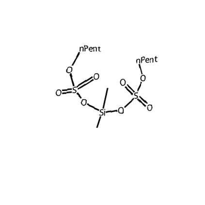 CCCCCOS(=O)(=O)O[Si](C)(C)OS(=O)(=O)OCCCCC